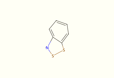 c1ccc2c(c1)[N]SS2